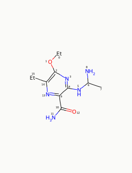 CCOc1nc(NC(C)N)c(C(N)=O)nc1CC